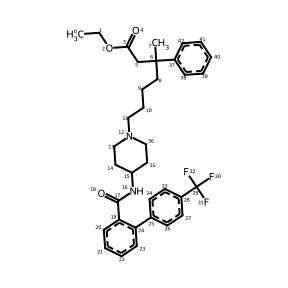 CCOC(=O)CC(C)(CCCCN1CCC(NC(=O)c2ccccc2-c2ccc(C(F)(F)F)cc2)CC1)c1ccccc1